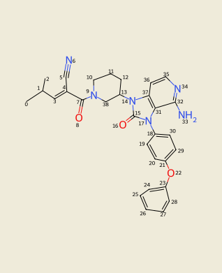 CC(C)C=C(C#N)C(=O)N1CCCC(n2c(=O)n(-c3ccc(Oc4ccccc4)cc3)c3c(N)nccc32)C1